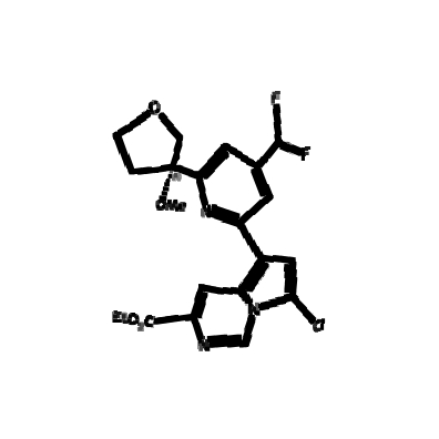 CCOC(=O)c1cc2c(-c3cc(C(F)F)cc([C@@]4(OC)CCOC4)n3)cc(Cl)n2cn1